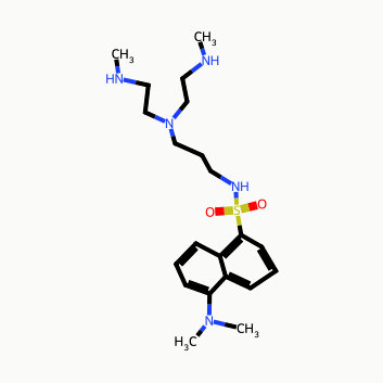 CNCCN(CCCNS(=O)(=O)c1cccc2c(N(C)C)cccc12)CCNC